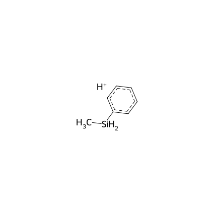 C[SiH2]c1ccccc1.[H+]